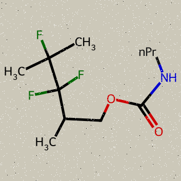 CCCNC(=O)OCC(C)C(F)(F)C(C)(C)F